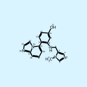 Cn1cncc1CNc1cc(O)ccc1-c1cccc2nccn12